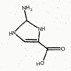 NC1NC=C(C(=O)O)N1